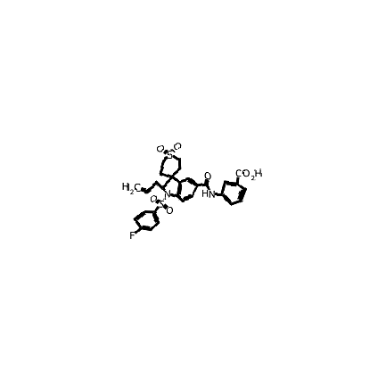 C=CCC1N(S(=O)(=O)c2ccc(F)cc2)c2ccc(C(=O)Nc3cccc(C(=O)O)c3)cc2C12CCS(=O)(=O)CC2